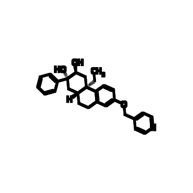 CC[C@@]12C[C@H](O)[C@](O)(c3ccccc3)C[C@H]1CCc1cc(OCc3ccncc3)ccc12